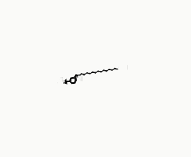 CCCCCCCCCCCCCCCc1cc2cc(C(=O)OC)ccc2[nH]1